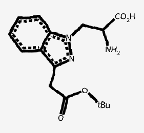 CC(C)(C)OC(=O)Cc1nn(CC(N)C(=O)O)c2ccccc12